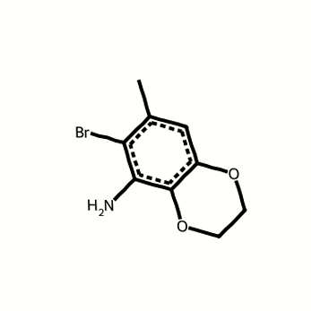 Cc1cc2c(c(N)c1Br)OCCO2